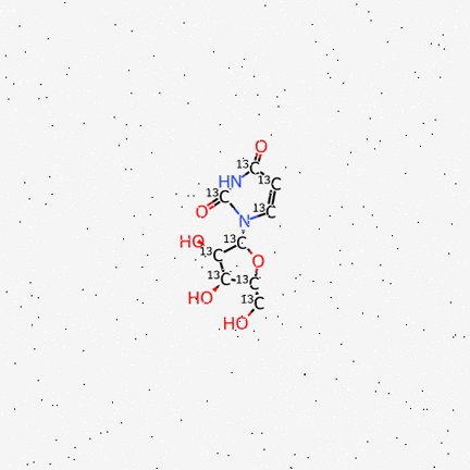 O=[13c]1[13cH][13cH]n([13C@@H]2O[13C@H]([13CH2]O)[13C@@H](O)[13C@H]2O)[13c](=O)[nH]1